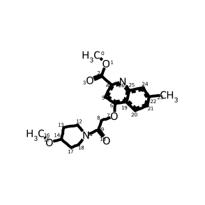 COC(=O)c1cc(OCC(=O)N2CCC(OC)CC2)c2ccc(C)cc2n1